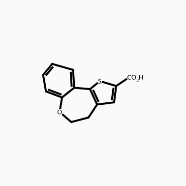 O=C(O)c1cc2c(s1)-c1ccccc1OCC2